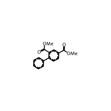 COC(=O)c1ccc(-c2ccccc2)c(C(=O)OC)c1